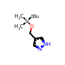 CC(C)(C)[Si](C)(C)OCc1cn[nH]c1